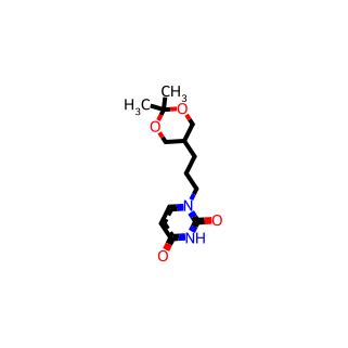 CC1(C)OCC(CCCn2ccc(=O)[nH]c2=O)CO1